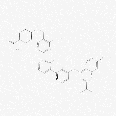 COC(=O)C1CCC(N(C)Cc2ccc(-c3cccc(-c4cccc(Nc5nc(C(F)F)nc6cc(C=O)cnc56)c4C)c3Cl)nc2OC)CC1